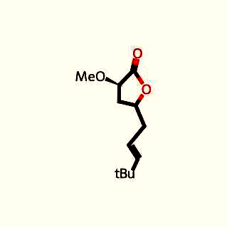 CO[C@@H]1CC(C/C=C/C(C)(C)C)OC1=O